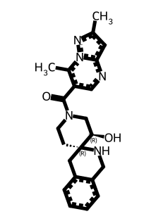 Cc1cc2ncc(C(=O)N3CC[C@]4(Cc5ccccc5CN4)[C@H](O)C3)c(C)n2n1